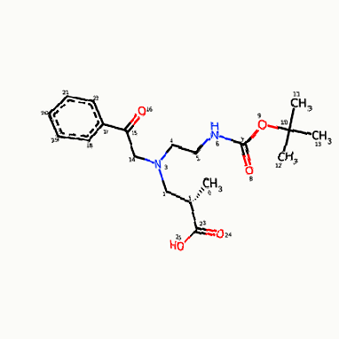 C[C@@H](CN(CCNC(=O)OC(C)(C)C)CC(=O)c1ccccc1)C(=O)O